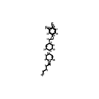 FCCCC[SiH]1CCC([C@H]2CC[C@H](COc3ccc(F)c(F)c3)CC2)CC1